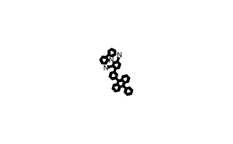 N#Cc1ccc(-c2cccc(-c3c4ccccc4c(-c4ccccc4)c4ccccc34)c2)c(C#N)c1-n1c2ccccc2c2ccccc21